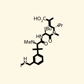 CN[C@@H](C(=O)N[C@H](C(=O)N(C)[C@H](/C=C(\C)C(=O)O)C(C)C)C(C)(C)C)C(C)(C)c1cccc(CNI)c1